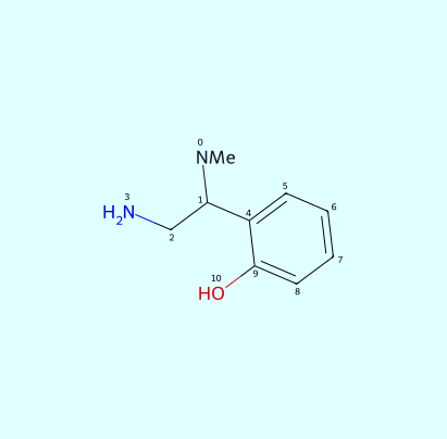 CNC(CN)c1ccccc1O